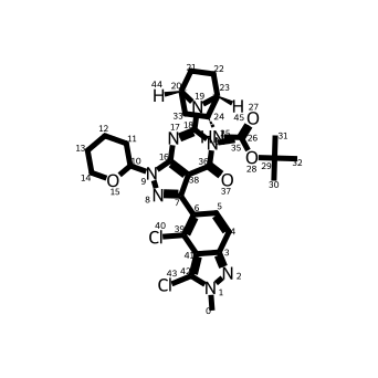 Cn1nc2ccc(-c3nn(C4CCCCO4)c4nc(N5[C@H]6CC[C@@H]5[C@H](NC(=O)OC(C)(C)C)C6)n(C)c(=O)c34)c(Cl)c2c1Cl